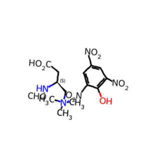 C[N+](C)(C)C[C@H](CC(=O)O)NC=O.O=[N+]([O-])c1cc([N+](=O)[O-])c(O)c([N+](=O)[O-])c1